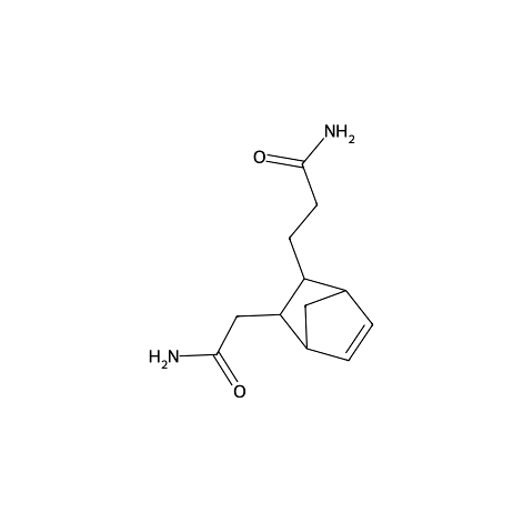 NC(=O)CCC1C2C=CC(C2)C1CC(N)=O